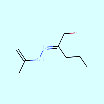 C=C(C)N/N=C(/CO)CCC